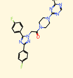 COc1ncnc(N2CCN(C(=O)Cn3nc(-c4ccc(F)cc4)nc3-c3ccc(F)cc3)CC2)n1